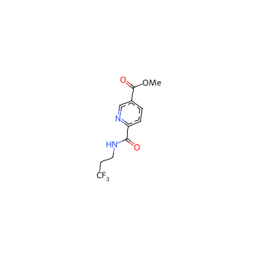 COC(=O)c1ccc(C(=O)NCCC(F)(F)F)nc1